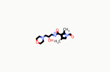 Cc1cn(C=O)c(C)c1C(=O)NC[C@H](O)CN1CCOCC1